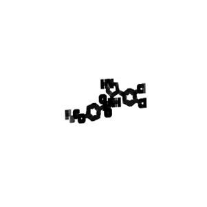 O=S(=O)(N[C@H]1CNC[C@H]1c1ccc(Cl)c(Cl)c1)c1ccc(OC(F)(F)F)cc1